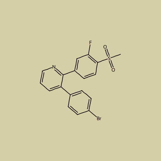 CS(=O)(=O)c1ccc(-c2ncccc2-c2ccc(Br)cc2)cc1F